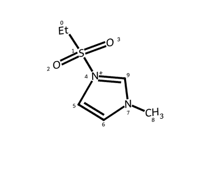 CCS(=O)(=O)[n+]1ccn(C)c1